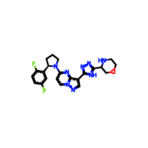 Fc1ccc(F)c([C@H]2CCCN2c2ccn3ncc(-c4nnc(C5COCCN5)[nH]4)c3n2)c1